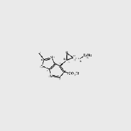 CCOC(=O)c1cnc2sc(C)nc2c1[C@H]1C[C@@H]1COC